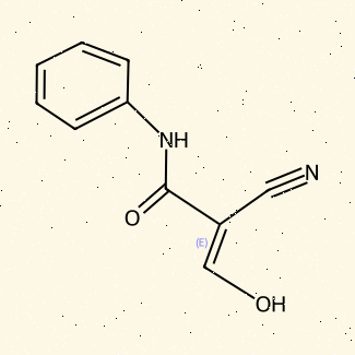 N#C/C(=C\O)C(=O)Nc1ccccc1